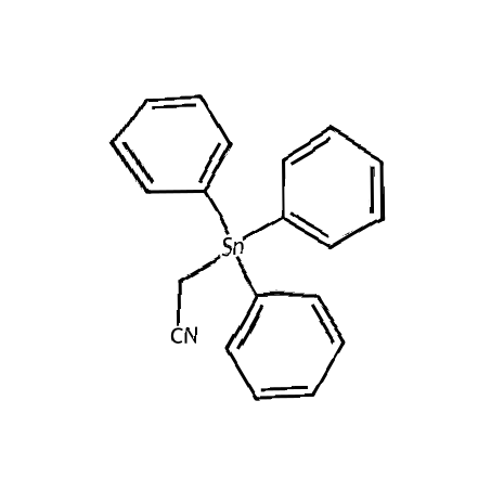 N#C[CH2][Sn]([c]1ccccc1)([c]1ccccc1)[c]1ccccc1